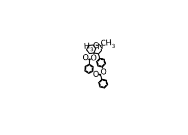 CN(C)CC(c1ccc(OC(=O)c2ccccc2)cc1)C1(OC(=O)c2ccccc2)CCCCC1